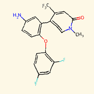 Cn1cc(-c2cc(N)ccc2Oc2ccc(F)cc2F)c(C(F)(F)F)cc1=O